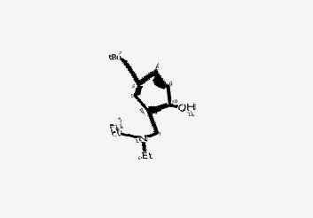 CCN(CC)Cc1cc(C(C)(C)C)ccc1O